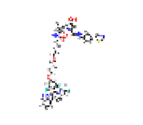 Cc1ncsc1-c1ccc(CNC(=O)[C@@H]2C[C@@H](O)CN2C(=O)[C@@H](NC(=O)CCCCCOCCCCOc2cc(F)c([C@@H]3c4[nH]c5ccccc5c4C[C@@H](C)N3CC(C)(C)F)c(F)c2)C(C)(C)C)cc1